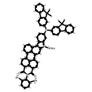 CCCCCCn1c2cc(N(c3ccc4c(c3)C(C)(C)c3ccccc3-4)c3ccc4c(c3)C(C)(C)c3ccccc3-4)ccc2c2c3cccc4c5ccc6c7c(ccc(c(cc21)c43)c75)C(=O)N(c1c(C(C)C)cccc1C(C)C)C6=O